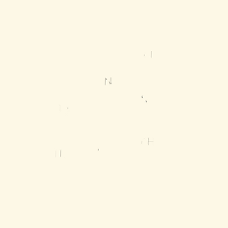 COc1c(C)nc(Cl)nc1C